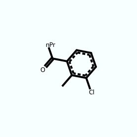 CCCC(=O)c1cccc(Cl)c1C